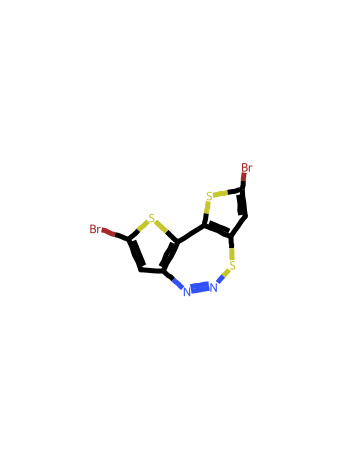 Brc1cc2c(s1)-c1sc(Br)cc1SN=N2